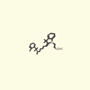 C=C(/C=C/C=C/C=C1/N(CCCCCCCCCCCC)c2ccccc2C1(C)C)C(C)(C)c1ccccc1C